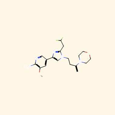 C=C(CCn1cc(-c2cnc(N)c(OC(F)(F)F)c2)nc1CC(F)F)N1CCOCC1